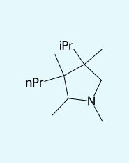 CCCC1(C)C(C)N(C)CC1(C)C(C)C